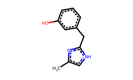 Cc1c[nH]c(Cc2cccc(O)c2)n1